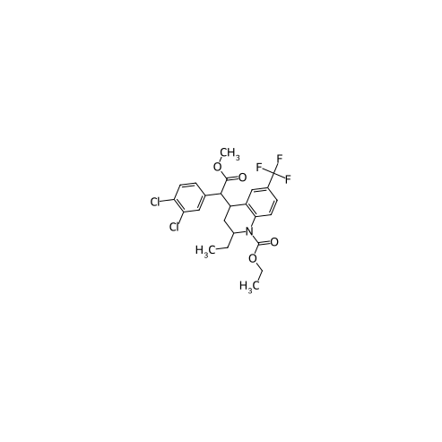 CCOC(=O)N1c2ccc(C(F)(F)F)cc2C(C(C(=O)OC)c2ccc(Cl)c(Cl)c2)CC1CC